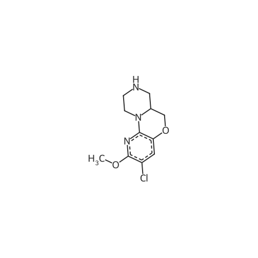 COc1nc2c(cc1Cl)OCC1CNCCN21